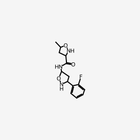 CC1CC(C(=O)NC2CC(c3ccccc3F)NO2)NO1